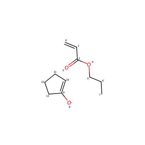 C=CC(=O)OCCC.[O]C1=CCCC1